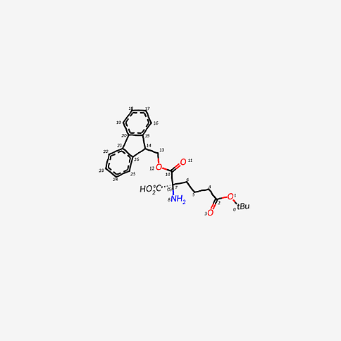 CC(C)(C)OC(=O)CCC[C@](N)(C(=O)O)C(=O)OCC1c2ccccc2-c2ccccc21